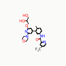 Cc1ccc(NC(=O)c2cc(C(F)(F)F)ccn2)cc1-c1cc(OC[C@@H](O)CO)nc(N2CCOCC2)c1